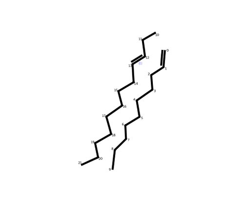 C=CCCCCCCCC.CC/C=C/CCCCCCCC